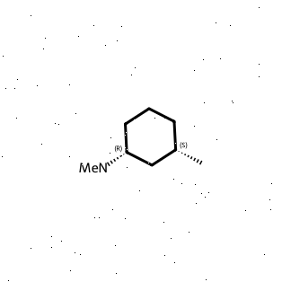 CN[C@@H]1CCC[C@H](C)C1